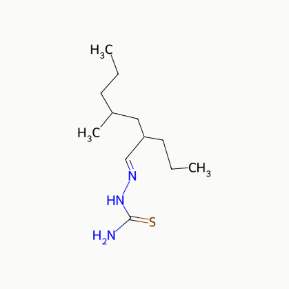 CCCC(C)CC(C=NNC(N)=S)CCC